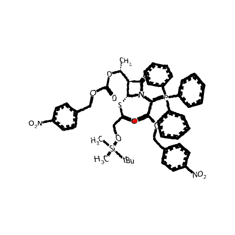 C[C@@H](OC(=O)OCc1ccc([N+](=O)[O-])cc1)[C@H]1C(=O)N(C(C(=O)OCc2ccc([N+](=O)[O-])cc2)=P(c2ccccc2)(c2ccccc2)c2ccccc2)[C@@H]1SC(=O)CO[Si](C)(C)C(C)(C)C